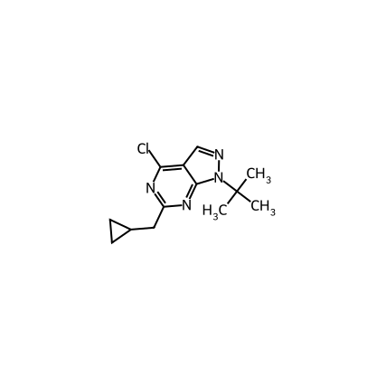 CC(C)(C)n1ncc2c(Cl)nc(CC3CC3)nc21